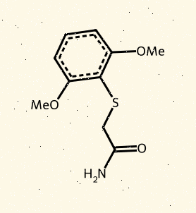 COc1cccc(OC)c1SCC(N)=O